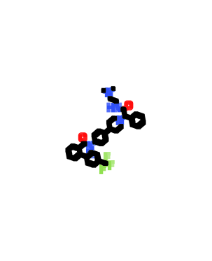 CN(C)CCNC(=O)C(c1ccccc1)N1CCC(c2ccc(NC(=O)c3ccccc3-c3ccc(C(F)(F)F)cc3)cc2)CC1